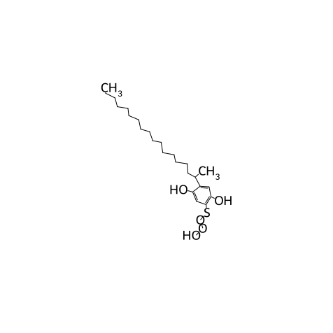 CCCCCCCCCCCCCCCCC(C)c1cc(O)c(SOOO)cc1O